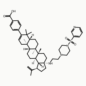 C=C(C)[C@@H]1CC[C@]2(NCCN3CCN(S(=O)(=O)c4cccnc4)CC3)CC[C@]3(C)[C@H](CC[C@@H]4[C@@]5(C)CC=C(c6ccc(C(=O)O)cc6)C(C)(C)[C@@H]5CC[C@]43C)[C@@H]12